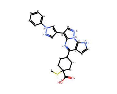 CSC1(C(=O)O)CCC(c2nc3c(-c4cnn(-c5ccccc5)c4)cnn3c3[nH]ccc23)CC1